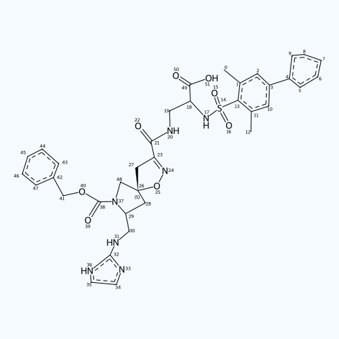 Cc1cc(-c2ccccc2)cc(C)c1S(=O)(=O)NC(CNC(=O)C1=NO[C@]2(C1)CC(CNc1ncc[nH]1)N(C(=O)OCc1ccccc1)C2)C(=O)O